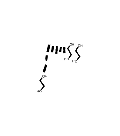 C=C.C=C.C=C.C=C.C=C.C=C.C=C.OCCO.OCCO.OCCO